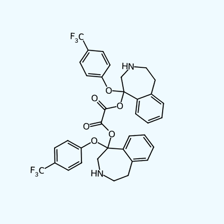 O=C(OC1(Oc2ccc(C(F)(F)F)cc2)CNCCc2ccccc21)C(=O)OC1(Oc2ccc(C(F)(F)F)cc2)CNCCc2ccccc21